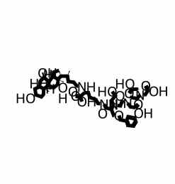 C[C@H](CCC(=O)NC(CCCCNC(=O)C(COCc1ccccc1)N(CCN(CCN(CC(=O)O)CC(=O)O)CC(=O)O)CC(=O)O)C(=O)O)[C@H]1CC[C@H]2[C@@H]3[C@H](O)C[C@@H]4C[C@H](O)CC[C@]4(C)[C@H]3C[C@H](O)[C@]12C